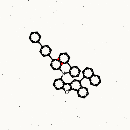 c1ccc(-c2ccc(-c3ccc(N(c4ccccc4-c4ccccc4)c4cccc5oc6c7ccccc7c(-c7cccc8ccccc78)cc6c45)cc3)cc2)cc1